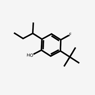 CCC(C)c1cc(F)c(C(C)(C)C)cc1O